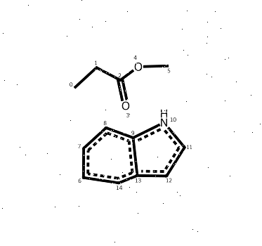 CCC(=O)OC.c1ccc2[nH]ccc2c1